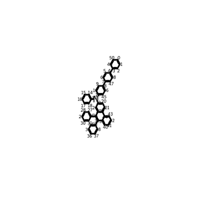 c1ccc(-c2ccc(-c3ccc(N(c4ccccc4)c4ccc5c(c4)c(-c4ccccc4)c(-c4ccccc4)c4ccccc45)cc3)cc2)cc1